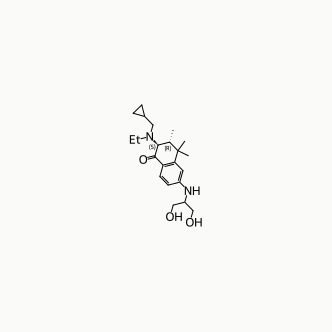 CCN(CC1CC1)[C@@H]1C(=O)c2ccc(NC(CO)CO)cc2C(C)(C)[C@H]1C